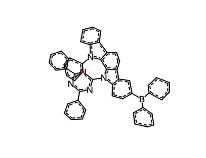 c1ccc(B(c2ccccc2)c2ccc3c(c2)c2ccc4c5ccccc5n(-c5ccccc5)c4c2n3-c2nc(-c3ccccc3)nc(-c3ccccc3)n2)cc1